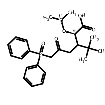 C[SiH](C)O[C@@H](C(=O)O)C(CC(=O)CP(=O)(c1ccccc1)c1ccccc1)C(C)(C)C